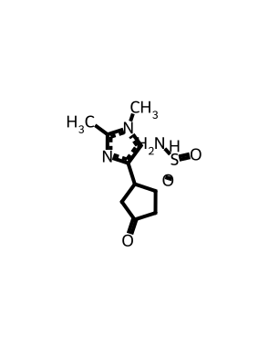 Cc1nc(C2CCC(=O)C2)cn1C.N[SH](=O)=O